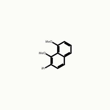 COc1cccc2ccc(C(C)C)c(OC)c12